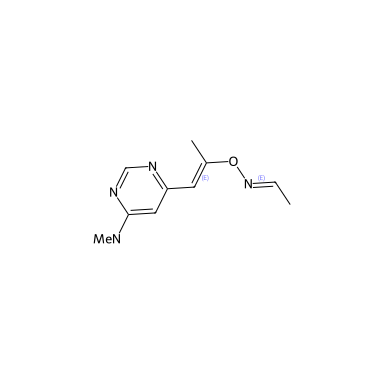 C/C=N/O/C(C)=C/c1cc(NC)ncn1